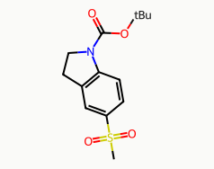 CC(C)(C)OC(=O)N1CCc2cc(S(C)(=O)=O)ccc21